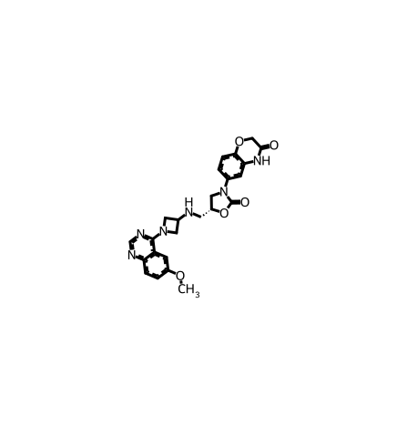 COc1ccc2ncnc(N3CC(NC[C@@H]4CN(c5ccc6c(c5)NC(=O)CO6)C(=O)O4)C3)c2c1